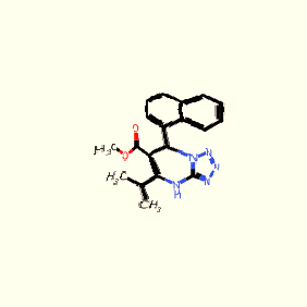 COC(=O)C1=C(C(C)C)Nc2nnnn2C1c1cccc2ccccc12